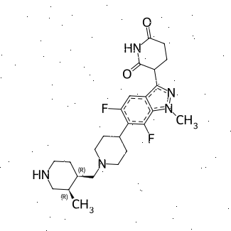 C[C@H]1CNCC[C@H]1CN1CCC(c2c(F)cc3c(C4CCC(=O)NC4=O)nn(C)c3c2F)CC1